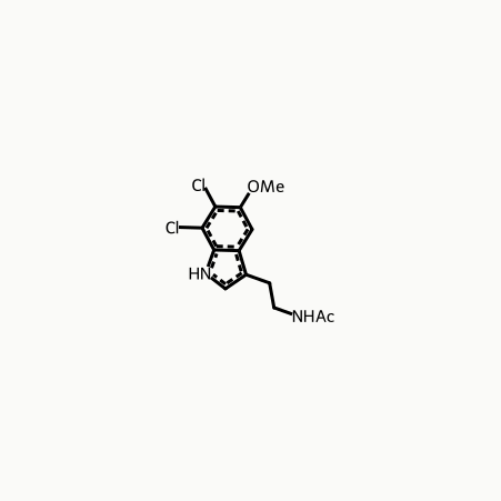 COc1cc2c(CCNC(C)=O)c[nH]c2c(Cl)c1Cl